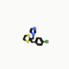 Clc1ccc(CC2(Cn3ccnc3)SCCS2)cc1